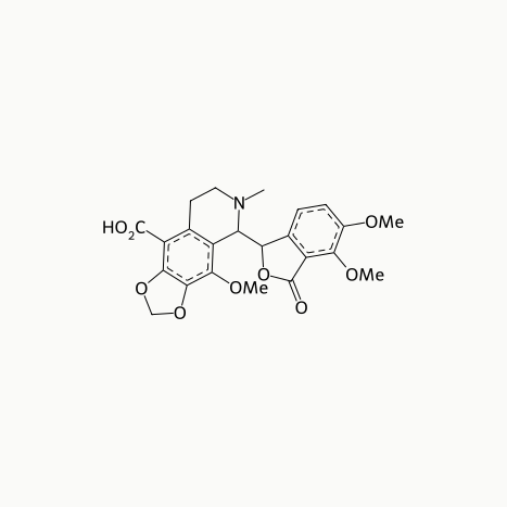 COc1ccc2c(c1OC)C(=O)OC2C1c2c(c(C(=O)O)c3c(c2OC)OCO3)CCN1C